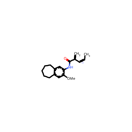 C=C(/C=C\C)C(=O)Nc1cc2c(cc1OC)CCCCC2